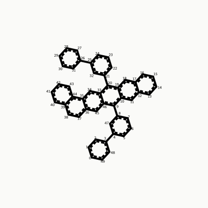 c1ccc(-c2cccc(-c3c4cc5ccccc5cc4c(-c4cccc(-c5ccccc5)c4)c4cc5c(ccc6ccccc65)cc34)c2)cc1